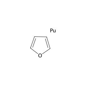 [Pu].c1ccoc1